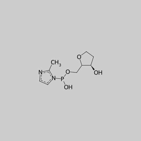 Cc1nccn1P(O)OCC1OCC[C@H]1O